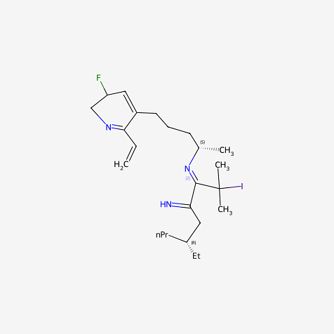 C=CC1=NCC(F)C=C1CCC[C@H](C)/N=C(/C(=N)C[C@H](CC)CCC)C(C)(C)I